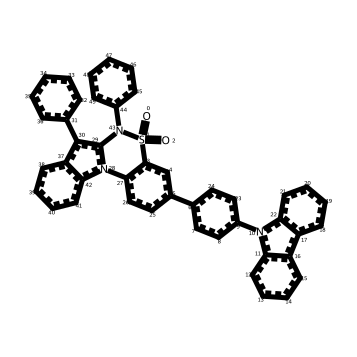 O=S1(=O)c2cc(-c3ccc(-n4c5ccccc5c5ccccc54)cc3)ccc2-n2c(c(-c3ccccc3)c3ccccc32)N1c1ccccc1